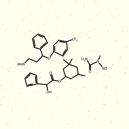 CC1CC(OC(=O)C(O)c2ccccc2)CC(C)(C)C1.CN(N=O)C(N)=O.CNCCC(Oc1ccc(C(F)(F)F)cc1)c1ccccc1